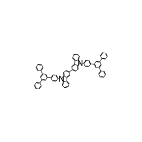 c1ccc(-c2cc(-c3ccccc3)cc(-c3ccc(-n4c5ccccc5c5cc(-c6ccc7c(c6)c6ccccc6n7-c6ccc(-c7cc(-c8ccccc8)cc(-c8ccccc8)c7)cc6)ccc54)cc3)c2)cc1